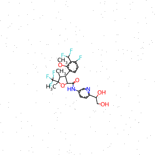 COc1c(C2C(C(=O)Nc3ccc(C(O)CO)nc3)OC(C)(C(F)(F)F)C2C)ccc(F)c1C(F)F